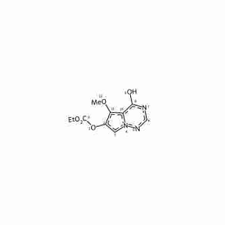 CCOC(=O)Oc1cn2ncnc(O)c2c1OC